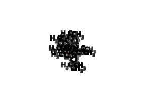 CC(C)(C)c1ccc(-c2cc(C(C)(C)C)ccc2N2c3ccc(C(C)(C)C)cc3B3c4sc5ccc(C(C)(C)C)cc5c4N(c4ccc5c(c4)C(C)(C)CCC5(C)C)c4cccc2c43)cc1